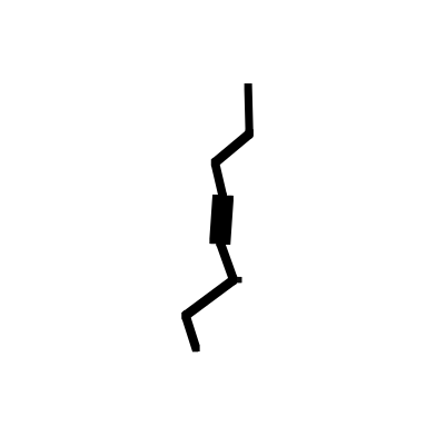 CC[CH]C#CCCC